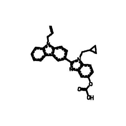 C=CCn1c2ccccc2c2cc(-c3nc4cc(OC(=O)O)ccc4n3CC3CC3)ccc21